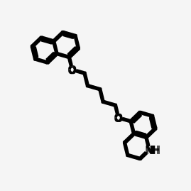 c1cc2c(c(OCCCCCOc3cccc4ccccc34)c1)CCCN2